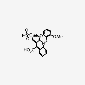 COc1cccc(OC)c1C[n+]1c2ccccc2c(C(=O)O)c2ccccc21.O=S(=O)([O-])F